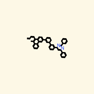 C=C/C=C\c1c(C)c2ccccc2c2cc(C3=CC(c4cccc(-c5cc(-c6ccccc6)nc(C6C=CC=CC6)n5)c4)CC=C3)ccc12